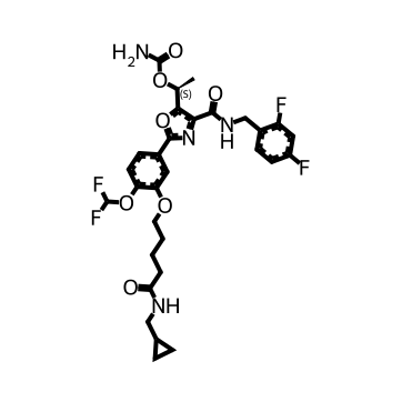 C[C@H](OC(N)=O)c1oc(-c2ccc(OC(F)F)c(OCCCCC(=O)NCC3CC3)c2)nc1C(=O)NCc1ccc(F)cc1F